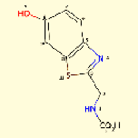 O=C(O)NCc1nc2ccc(O)cc2s1